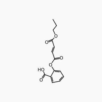 CCCOC(=O)/C=C/C(=O)Oc1ccccc1C(=O)O